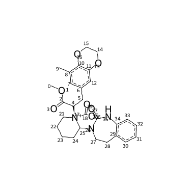 COC(=O)C(Cc1cc(C)c2c(c1)OCCO2)[N@+]1(C(=O)[O-])CCCCC1N1CCc2ccccc2NC1=O